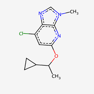 CC(Oc1cc(Cl)c2ncn(C)c2n1)C1CC1